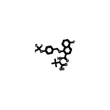 CC(C)(C)[C@H](NC(=O)c1ccc2c(F)cccc2c1OCc1ccc(OC(F)(F)F)cc1)C(=O)O